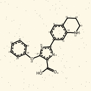 O=C(O)c1nc(-c2ccc3c(c2)NCCC3)sc1Oc1ccccc1